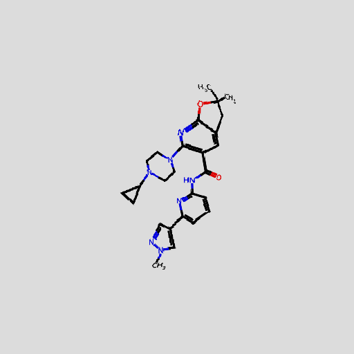 Cn1cc(-c2cccc(NC(=O)c3cc4c(nc3N3CCN(C5CC5)CC3)OC(C)(C)C4)n2)cn1